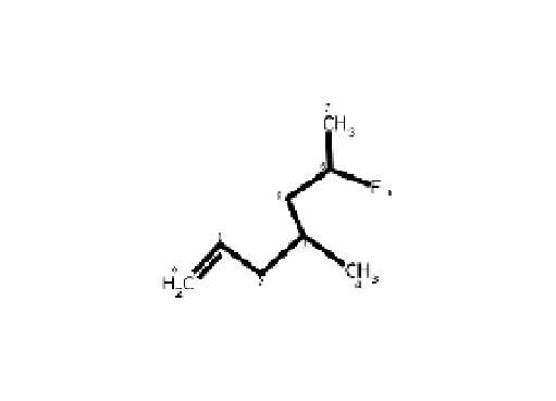 C=CCC(C)CC(C)F